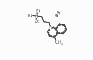 CC[N+](CC)(CC)CCC[n+]1ccc(C)c2ccccc21.[Br-].[Br-]